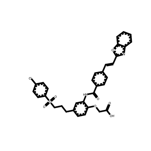 O=C(O)COc1ccc(CCCS(=O)(=O)c2ccc(Cl)cc2)cc1NC(=O)c1ccc(/C=C/c2nc3ccccc3o2)cc1